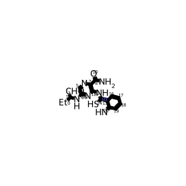 CCC(C=O)Nc1cnc(C(N)=O)c(N/C(S)=C2\C=CC=CC2=N)n1